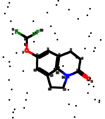 O=C1CCc2cc(OC(F)F)cc3c2N1CC3